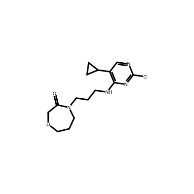 O=C1COCCCN1CCCNc1nc(Cl)ncc1C1CC1